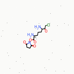 NC(CCC[C@H](N)C(=O)ON1C(=O)CCC1=O)C(=O)CCl